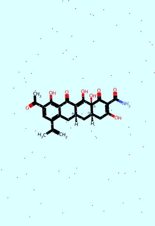 C=C(C)c1cc(C(C)=O)c(O)c2c1C[C@H]1C[C@H]3CC(O)=C(C(N)=O)C(=O)[C@@]3(O)C(O)=C1C2=O